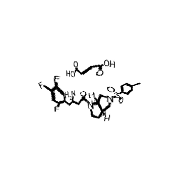 Cc1ccc(S(=O)(=O)N2C[C@@H]3CCN(C(=O)CC(N)Cc4cc(F)c(F)cc4F)[C@@H]3C2)cc1.O=C(O)C=CC(=O)O